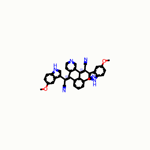 COc1ccc2[nH]cc(/C(C#N)=C/c3cccc(C#N)c3/C(=C(/C#N)c3c[nH]c4ccc(OC)cc34)c3cnccc3C)c2c1